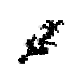 CCCCC(CC(CC(CC)C(=O)NCCNC(=O)COC1C(COCCC)OC(OCC2OC(OCC3OC(OCC4OC(CCC)C(O)C(O)C4O)C(OCC(=O)NCCNC(=O)CCC(=O)O)C(O)C3O)C(O)C(O)C2O)C(O)C1O)C(=O)NCCSC)C(=O)NCCSC